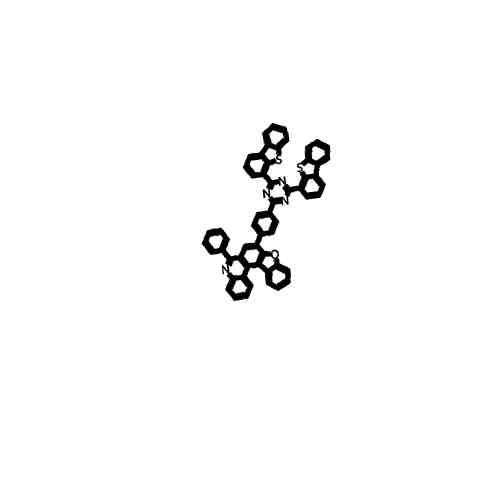 c1ccc(-c2nc3ccccc3c3c2cc(-c2ccc(-c4nc(-c5cccc6c5sc5ccccc56)nc(-c5cccc6c5sc5ccccc56)n4)cc2)c2oc4ccccc4c23)cc1